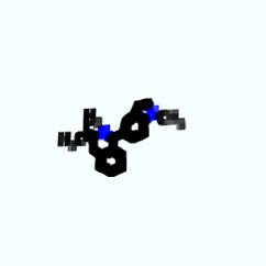 Cn1ccc2cc(C3=NC(C)(C)Cc4ccccc43)ccc21